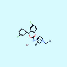 CC(=O)C[N+]12CCC(CC1)[C@@H](NC(=O)OC(c1cccc(F)c1)c1cccc(F)c1)C2.[Br-]